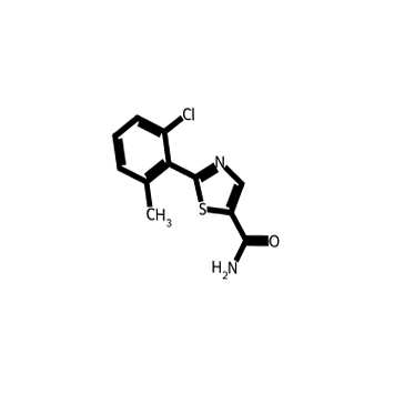 Cc1cccc(Cl)c1-c1ncc(C(N)=O)s1